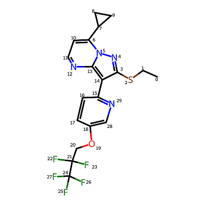 CCSc1nn2c(C3CC3)ccnc2c1-c1ccc(OCC(F)(F)C(F)(F)F)cn1